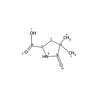 CC1(C)CC(C(=O)O)NC1=O